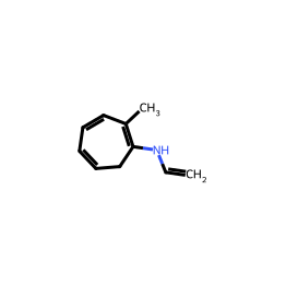 C=CNC1=C(C)C=CC=CC1